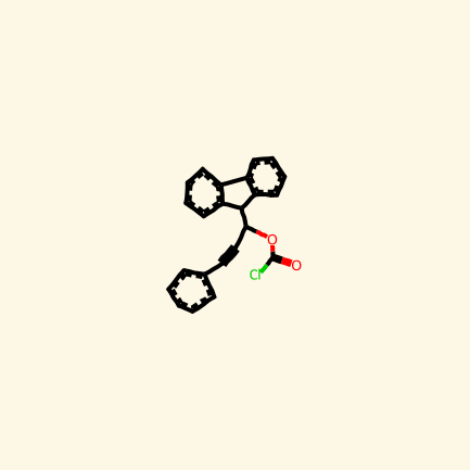 O=C(Cl)OC(C#Cc1ccccc1)C1c2ccccc2-c2ccccc21